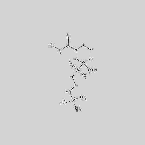 CC(C)(C)OC(=O)N1CCCC(C(=O)O)(S(=O)(=O)CCO[Si](C)(C)C(C)(C)C)C1